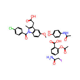 CC(=O)Nc1ccc(O)cc1.CC(=O)Oc1ccccc1C(=O)O.COc1ccc2c(c1)c(CC(=O)O)c(C)n2C(=O)c1ccc(Cl)cc1.NC(=O)CI